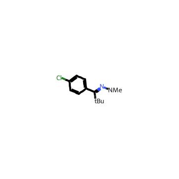 CNN=C(c1ccc(Cl)cc1)C(C)(C)C